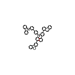 c1ccc(-c2ccc(-c3cccc4c3ccc3ccccc34)cc2N(c2ccc(-c3cccc(-n4c5ccccc5c5ccccc54)c3)cc2)c2ccc(-c3ccc4oc5ccccc5c4c3)cc2)cc1